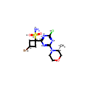 C[C@@H]1COCCN1c1nc(Cl)nc(C2(S(N)(=O)=O)CC(Br)C2)n1